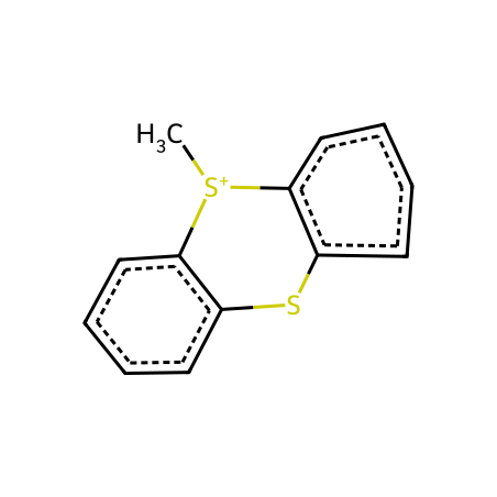 C[S+]1c2ccccc2Sc2ccccc21